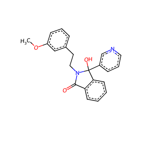 COc1cccc(CCN2C(=O)c3ccccc3C2(O)c2cccnc2)c1